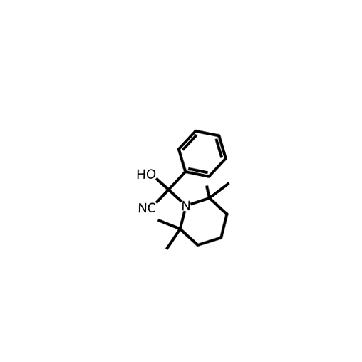 CC1(C)CCCC(C)(C)N1C(O)(C#N)c1ccccc1